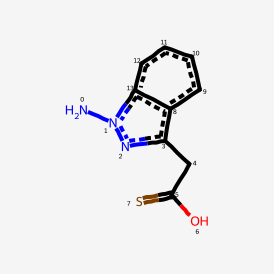 Nn1nc(CC(O)=S)c2ccccc21